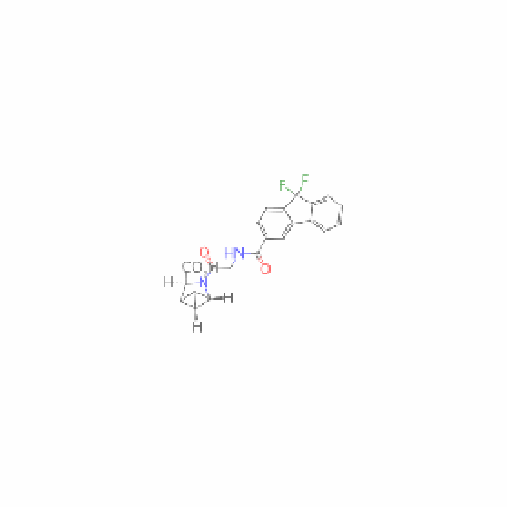 O=C(NCC(=O)N1[C@H](C(=O)O)C2C3[C@@H]2[C@H]31)c1ccc2c(c1)-c1ccccc1C2(F)F